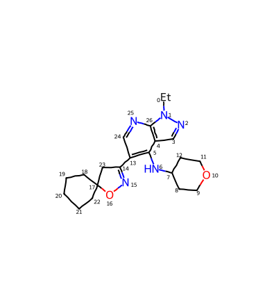 CCn1ncc2c(NC3CCOCC3)c(C3=NOC4(CCCCC4)C3)cnc21